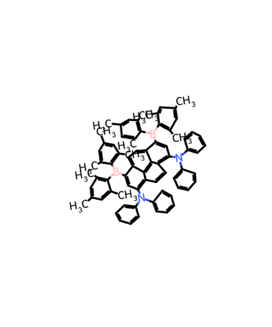 Cc1cc(C)c(B(c2c(C)cc(C)cc2C)c2cc(N(c3ccccc3)c3ccccc3)c3ccc4c(N(c5ccccc5)c5ccccc5)cc(B(c5c(C)cc(C)cc5C)c5c(C)cc(C)cc5C)c5ccc2c3c54)c(C)c1